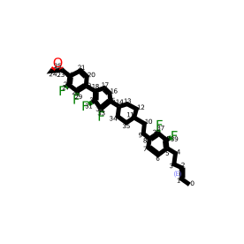 C/C=C/CCc1ccc(CCC2CCC(c3ccc(-c4ccc(C5CO5)c(F)c4F)c(F)c3F)CC2)c(F)c1F